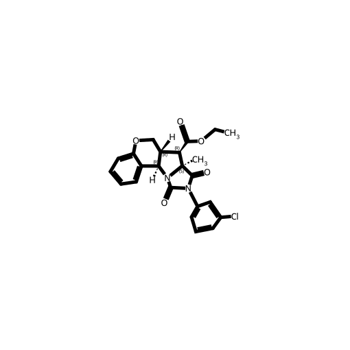 CCOC(=O)[C@@H]1[C@H]2COc3ccccc3[C@@H]2N2C(=O)N(c3cccc(Cl)c3)C(=O)[C@]12C